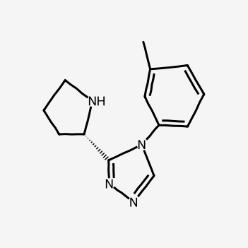 Cc1cccc(-n2cnnc2[C@@H]2CCCN2)c1